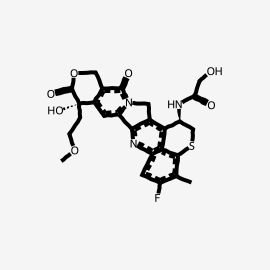 COCC[C@@]1(O)C(=O)OCc2c1cc1n(c2=O)Cc2c-1nc1cc(F)c(C)c3c1c2[C@@H](NC(=O)CO)CS3